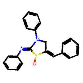 [O-][S+]1C(=Cc2ccccc2)CN(c2ccccc2)C1=Nc1ccccc1